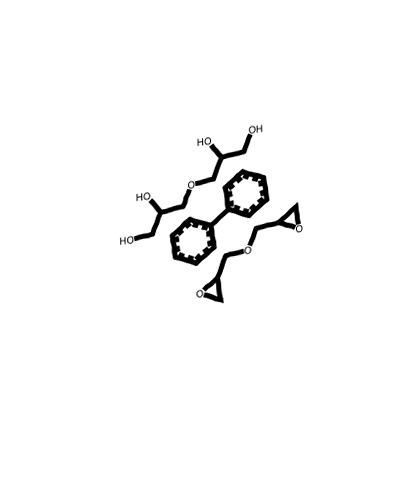 C(OCC1CO1)C1CO1.OCC(O)COCC(O)CO.c1ccc(-c2ccccc2)cc1